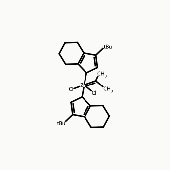 C[C](C)=[Zr]([Cl])([Cl])([CH]1C=C(C(C)(C)C)C2=C1CCCC2)[CH]1C=C(C(C)(C)C)C2=C1CCCC2